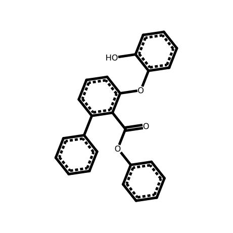 O=C(Oc1ccccc1)c1c(Oc2ccccc2O)cccc1-c1ccccc1